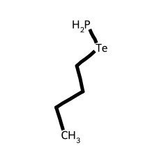 CCCC[Te]P